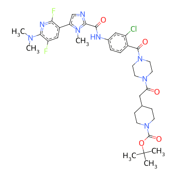 CN(C)c1nc(F)c(-c2cnc(C(=O)Nc3ccc(C(=O)N4CCN(C(=O)CC5CCN(C(=O)OC(C)(C)C)CC5)CC4)c(Cl)c3)n2C)cc1F